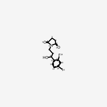 O=C1CCC(=O)N1CCC(O)c1ccc(I)cc1F